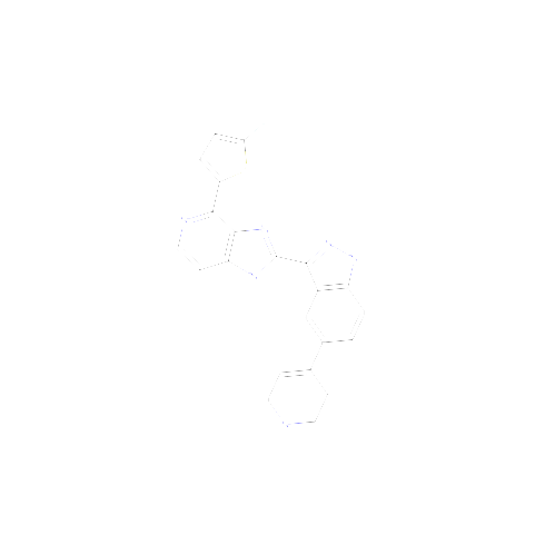 Fc1ccc(-c2nccc3[nH]c(-c4n[nH]c5ccc(C6=CCNCC6)cc45)nc23)s1